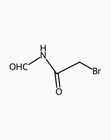 O=CNC(=O)CBr